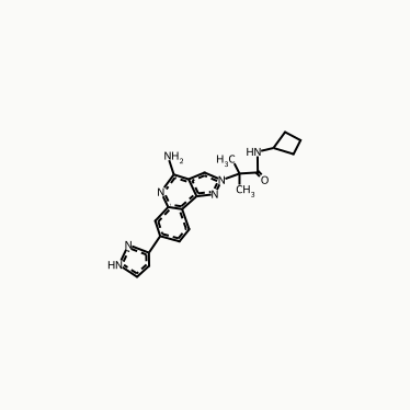 CC(C)(C(=O)NC1CCC1)n1cc2c(N)nc3cc(-c4cc[nH]n4)ccc3c2n1